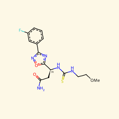 COCCNC(=S)N[C@@H](CC(N)=O)c1nc(-c2cccc(F)c2)no1